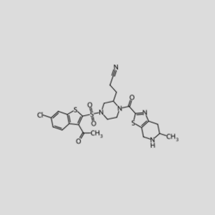 CC(=O)c1c(S(=O)(=O)N2CCN(C(=O)c3nc4c(s3)CNC(C)C4)C(CCC#N)C2)sc2cc(Cl)ccc12